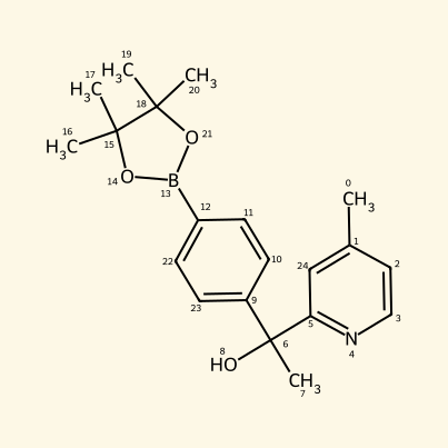 Cc1ccnc(C(C)(O)c2ccc(B3OC(C)(C)C(C)(C)O3)cc2)c1